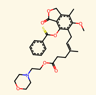 COc1c(C)c2c(c(OC(=S)c3ccccc3)c1C/C=C(\C)CCC(=O)OCCN1CCOCC1)C(=O)OC2